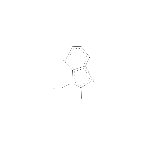 Cc1nc2c[c]cnc2n1C